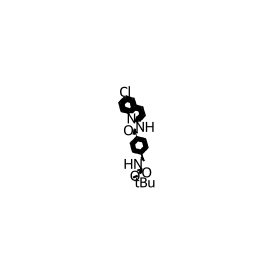 CC(C)(C)OC(=O)NC[C@H]1CC[C@H](C(=O)Nc2ccc3cc(Cl)ccc3n2)CC1